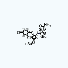 CCCCOc1cc(/C=C(\C(C)(C)C)S(=O)(=O)OC(N)=O)n(Cc2ccc(Cl)cc2Cl)n1